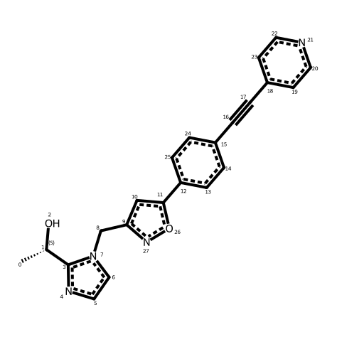 C[C@H](O)c1nccn1Cc1cc(-c2ccc(C#Cc3ccncc3)cc2)on1